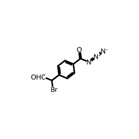 [N-]=[N+]=NC(=O)c1ccc(C(Br)C=O)cc1